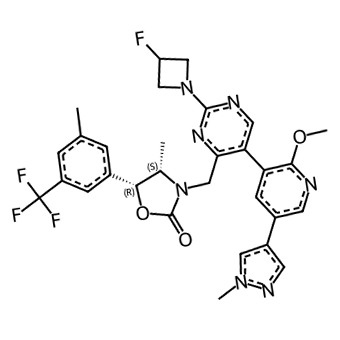 COc1ncc(-c2cnn(C)c2)cc1-c1cnc(N2CC(F)C2)nc1CN1C(=O)O[C@H](c2cc(C)cc(C(F)(F)F)c2)[C@@H]1C